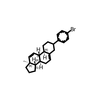 C[C@]12C=C[C@H]3[C@@H](CC=C4CC(c5ccc(Br)cc5)CC[C@@H]43)[C@@H]1CCC2